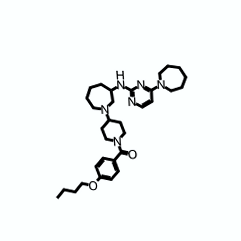 CCCCOc1ccc(C(=O)N2CCC(N3CCCCC(Nc4nccc(N5CCCCCC5)n4)C3)CC2)cc1